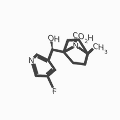 CC12CCC([C@H](O)c3cncc(F)c3)(CC1)N2C(=O)O